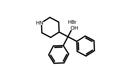 Br.OC(c1ccccc1)(c1ccccc1)C1CCNCC1